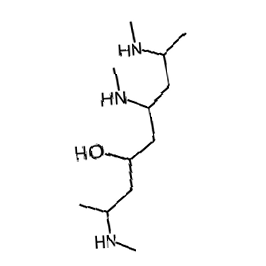 CNC(C)CC(O)CC(CC(C)NC)NC